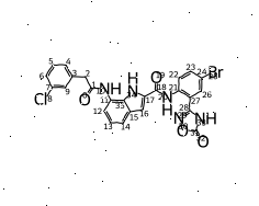 O=C(Cc1cccc(Cl)c1)Nc1cccc2cc(C(=O)Nc3ccc(Br)cc3-c3noc(=O)[nH]3)[nH]c12